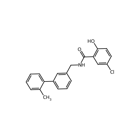 Cc1ccccc1-c1cccc(CNC(=O)c2cc(Cl)ccc2O)c1